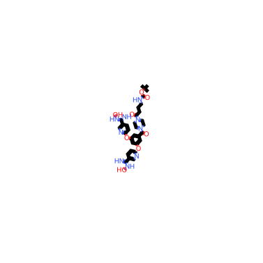 CC(C)(C)OC(=O)NCCCC(=O)N1CCN(C(=O)c2cc(Oc3ccc(C(=N)NO)cn3)cc(Oc3ccc(C(=N)NO)cn3)c2)CC1